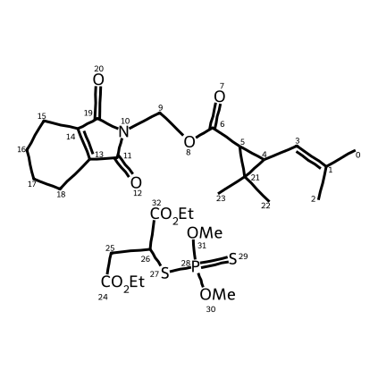 CC(C)=CC1C(C(=O)OCN2C(=O)C3=C(CCCC3)C2=O)C1(C)C.CCOC(=O)CC(SP(=S)(OC)OC)C(=O)OCC